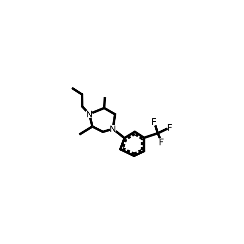 CCCN1C(C)CN(c2cccc(C(F)(F)F)c2)CC1C